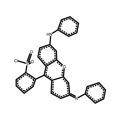 O=S(=O)(Cl)c1ccccc1-c1c2cc/c(=N/c3ccccc3)cc-2oc2cc(Nc3ccccc3)ccc12